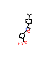 CC(C)c1ccc(-c2coc(-c3cccc(C(=O)O)c3)n2)cc1